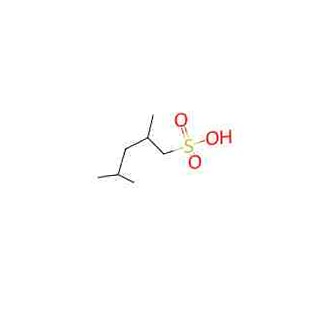 CC(C)CC(C)CS(=O)(=O)O